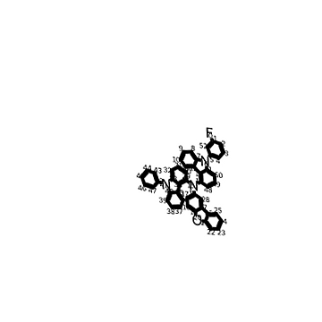 Fc1cccc(-n2c3ccccc3c3c(N(c4ccc5oc6ccccc6c5c4)c4cccc5c4c4ccccc4n5-c4ccccc4)cccc32)c1